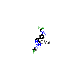 COc1nc(NCC(C)(C)F)nn2ccc(-c3ccc4nnn(CC(F)F)c4c3)c12